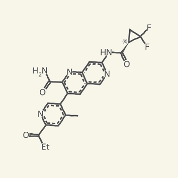 CCC(=O)c1cc(C)c(-c2cc3cnc(NC(=O)[C@H]4CC4(F)F)cc3nc2C(N)=O)cn1